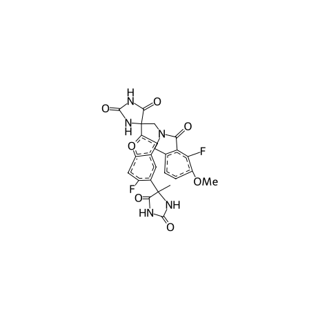 COc1ccc2c(c1F)C(=O)N(CC1(c3cc4cc(C5(C)NC(=O)NC5=O)c(F)cc4o3)NC(=O)NC1=O)C2